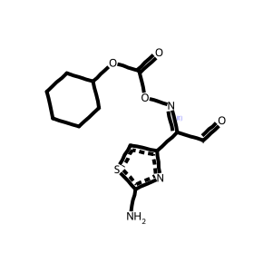 Nc1nc(/C([C]=O)=N\OC(=O)OC2CCCCC2)cs1